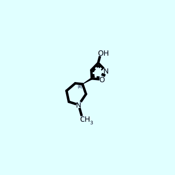 CN1CCC[C@@H](c2cc(O)no2)C1